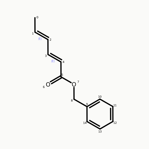 C/C=C/C=C/C(=O)OCc1ccccc1